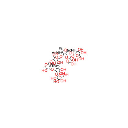 CCC1OC(CO)C(COC2OC(C)C(O)C(O)C2COCC2OC(CO)C(O)C(O)C2NC(C)=O)C(COCC2OC(CO)C(COCC3OC(C)C(O)C(COCC4CC(COC)C(O)C(O)C4OC4OC(CO)C(O)C(O)C4O)C3OC(C)=O)C(O)C2O)C1NC(C)=O